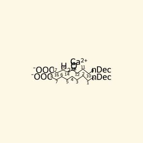 CCCCCCCCCCCCCCCCCC(=O)[O-].CCCCCCCCCCCCCCCCCC(=O)[O-].O.[Ca+2]